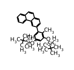 Cc1c(O[Si](C)(C)C(C)(C)C)cc(O[Si](C)(C)C(C)(C)C)cc1-c1ccc2ccc3ccccc3c2c1